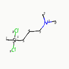 CN(C)CCC[Si](C)(Cl)Cl